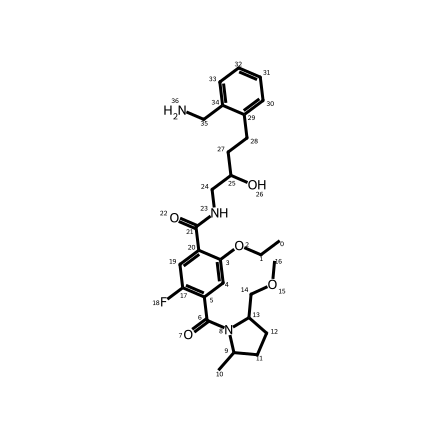 CCOc1cc(C(=O)N2C(C)CCC2COC)c(F)cc1C(=O)NCC(O)CCc1ccccc1CN